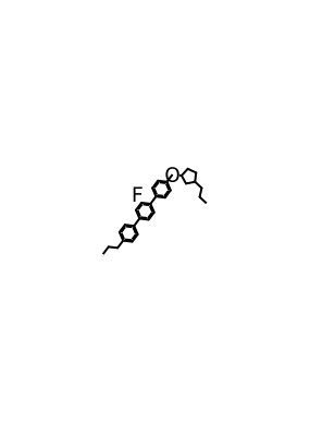 CCCc1ccc(-c2ccc(-c3ccc(OC4CCC(CCC)C4)cc3)c(F)c2)cc1